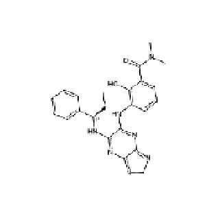 CC[C@@H](Nc1nc2c(nc1Nc1cccc(C(=O)N(C)C)c1O)=NCN=2)c1ccccc1